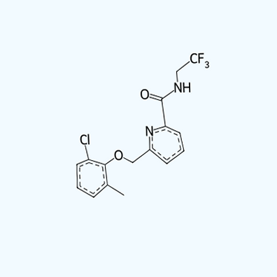 Cc1cccc(Cl)c1OCc1cccc(C(=O)NCC(F)(F)F)n1